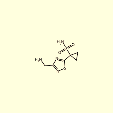 NCc1nsc(C2(S(N)(=O)=O)CC2)n1